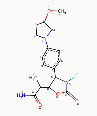 COC1CCN(c2ccc(C3C(C(C)C(N)=O)OC(=O)N3F)cc2)C1